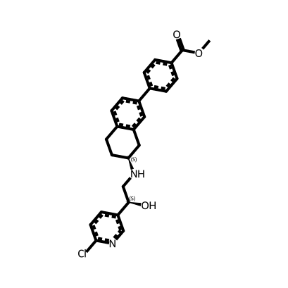 COC(=O)c1ccc(-c2ccc3c(c2)C[C@@H](NC[C@@H](O)c2ccc(Cl)nc2)CC3)cc1